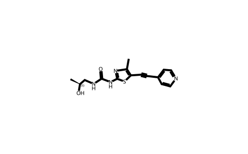 Cc1nc(NC(=O)NC[C@H](C)O)sc1C#Cc1ccncc1